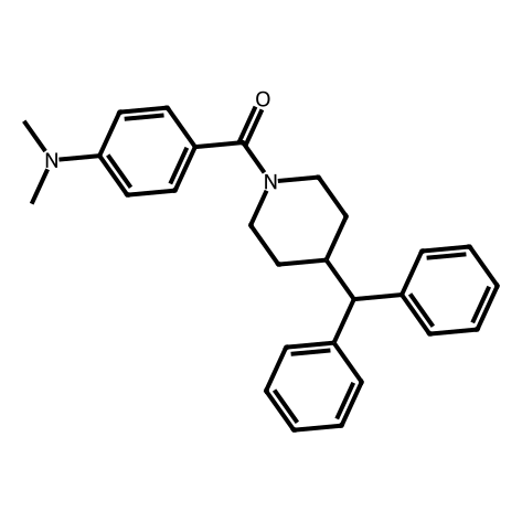 CN(C)c1ccc(C(=O)N2CCC(C(c3ccccc3)c3ccccc3)CC2)cc1